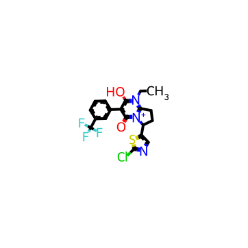 CCn1c(O)c(-c2cccc(C(F)(F)F)c2)c(=O)[n+]2c1CCC2c1cnc(Cl)s1